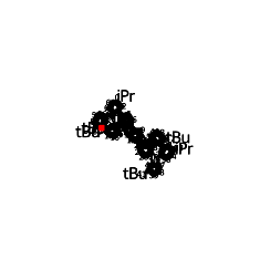 CC(C)C1=CC(c2ccc3c4cc5c(cc4n4c6ccc(C(C)(C)C)cc6c2c34)c2ccc(N(c3ccc(C(C)C)cc3)c3cccc(C(C)(C)C)c3)c3c4cc(C(C)(C)C)ccc4n5c23)C(Nc2cccc(C(C)(C)C)c2)C=C1